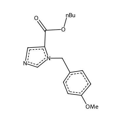 CCCCOC(=O)c1cncn1Cc1ccc(OC)cc1